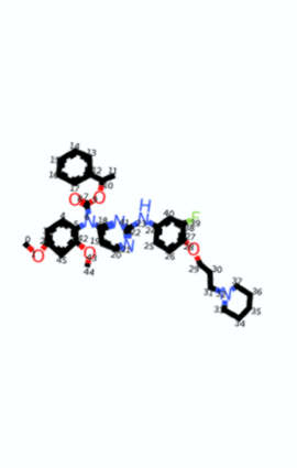 COc1ccc(N(C(=O)OC(C)c2ccccc2)c2ccnc(Nc3ccc(OCCCN4CCCCC4)c(F)c3)n2)c(OC)c1